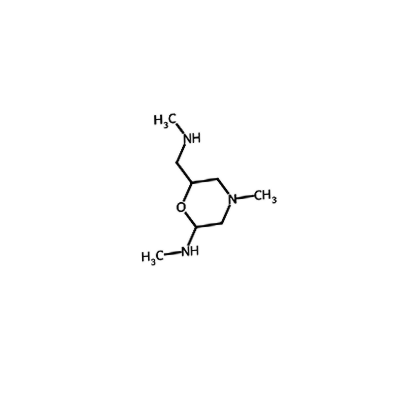 CNCC1CN(C)CC(NC)O1